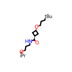 CC(C)OCCCNC(=O)[C@H]1C[C@@H](OCCCC(C)(C)C)C1